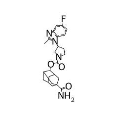 Cc1nc2cc(F)ccc2n1[C@H]1CCN(C(=O)OC2C3CC4CC2CC(C(N)=O)(C4)C3)C1